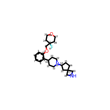 FC1(COc2ccccc2C2CCN(C3CCC4(CNC4)C3)CC2)CCOCC1